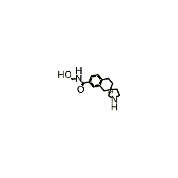 O=C(NCO)c1ccc2c(c1)C[C@]1(CCNC1)CC2